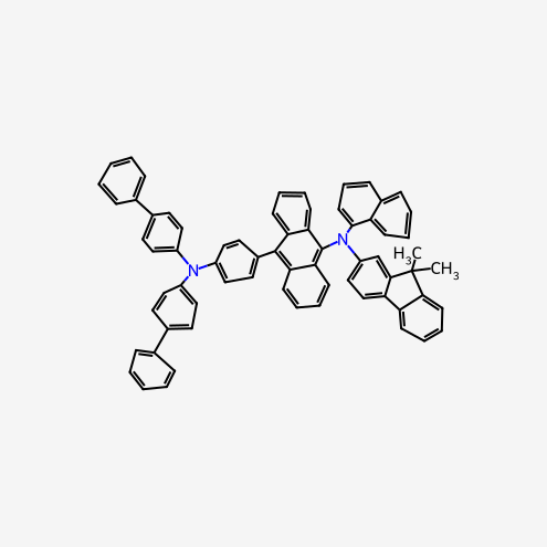 CC1(C)c2ccccc2-c2ccc(N(c3cccc4ccccc34)c3c4ccccc4c(-c4ccc(N(c5ccc(-c6ccccc6)cc5)c5ccc(-c6ccccc6)cc5)cc4)c4ccccc34)cc21